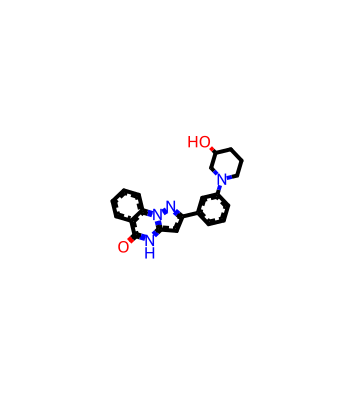 O=c1[nH]c2cc(-c3cccc(N4CCCC(O)C4)c3)nn2c2ccccc12